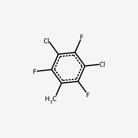 Cc1c(F)c(Cl)c(F)c(Cl)c1F